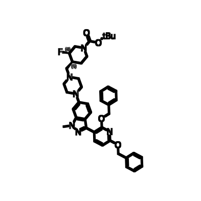 Cn1nc(-c2ccc(OCc3ccccc3)nc2OCc2ccccc2)c2ccc(N3CCN(C[C@@H]4CCN(C(=O)OC(C)(C)C)C[C@@H]4F)CC3)cc21